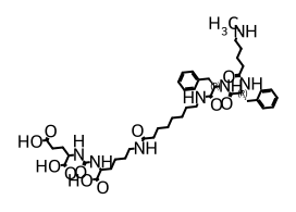 CNCCCCC(=O)N[C@H](Cc1ccccc1)C(=O)N[C@H](Cc1ccccc1)C(=O)NCCCCCCCC(=O)NCCCCC(NC(=O)NC(CCC(=O)O)C(=O)O)C(=O)O